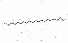 OOOCCCCCCCCCCCCCCOOO